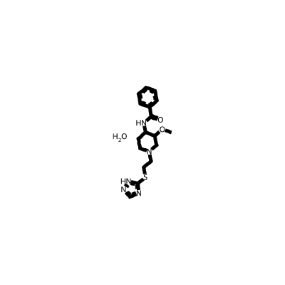 COC1CN(CCSc2ncn[nH]2)CCC1NC(=O)c1ccccc1.O